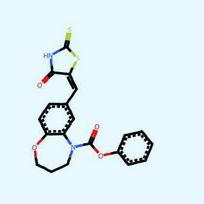 O=C1NC(=S)S/C1=C/c1ccc2c(c1)N(C(=O)Oc1ccccc1)CCCO2